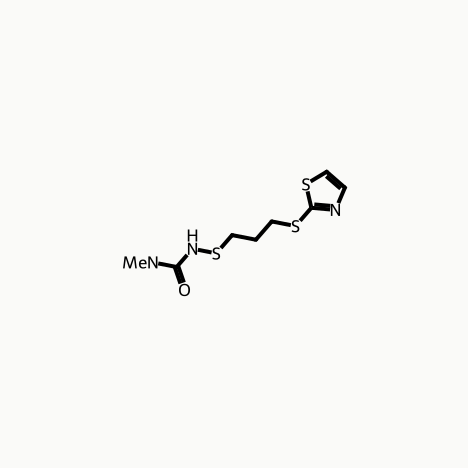 CNC(=O)NSCCCSc1nccs1